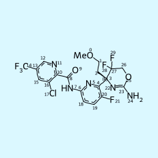 COCC[C@]1(c2nc(NC(=O)c3ncc(C(F)(F)F)cc3Cl)ccc2F)N=C(N)OCC1(F)F